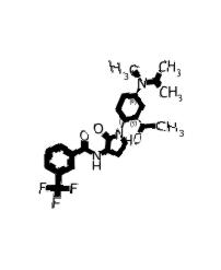 CC(O)[C@H]1C[C@H](N(C)C(C)C)CC[C@@H]1N1CCC(NC(=O)c2cccc(C(F)(F)F)c2)C1=O